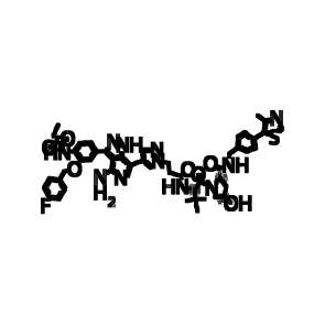 CCS(=O)(=O)Nc1ccc(-c2n[nH]c3c(-c4cnn(CCC(=O)N[C@H](C(=O)N5C[C@H](O)C[C@H]5C(=O)NCc5ccc(-c6scnc6C)cc5)C(C)(C)C)c4)cnc(N)c23)cc1OCc1ccc(F)cc1